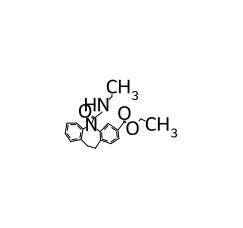 CCNCC(=O)N1c2ccccc2CCc2ccc(C(=O)OCC)cc21